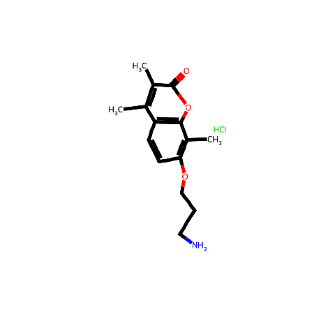 Cc1c(C)c2ccc(OCCCN)c(C)c2oc1=O.Cl